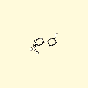 O=[SH](=O)c1cccc(-c2cc[c]c(F)c2)c1